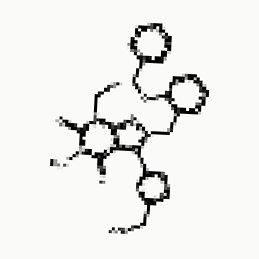 CC(=O)OCc1ccc(-c2c3c(=O)n(C)c(=O)n(CC(C)C)c3nn2Cc2ccccc2OCc2ccccc2)o1